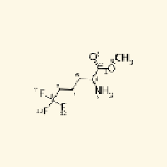 COC(=O)C(N)CCCC(F)(F)F